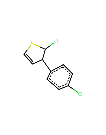 Cl[C]1SC=CC1c1ccc(Cl)cc1